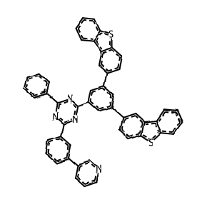 c1ccc(-c2nc(-c3cccc(-c4cccnc4)c3)nc(-c3cc(-c4ccc5sc6ccccc6c5c4)cc(-c4ccc5sc6ccccc6c5c4)c3)n2)cc1